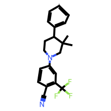 CC1(C)CN(c2ccc(C#N)c(C(F)(F)F)c2)CCC1c1cc[c]cc1